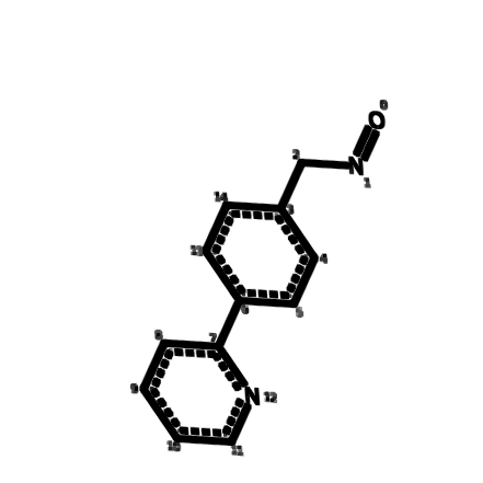 O=NCc1ccc(-c2ccccn2)cc1